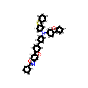 c1ccc(-c2nc3cc4oc5cc(-c6ccc(N(c7ccc8c(c7)oc7ccccc78)c7ccc8sc9ccccc9c8c7)cc6)ccc5c4cc3o2)cc1